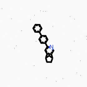 c1ccc(-c2ccc(-c3cc4c(cn3)C3CCC4C3)cc2)cc1